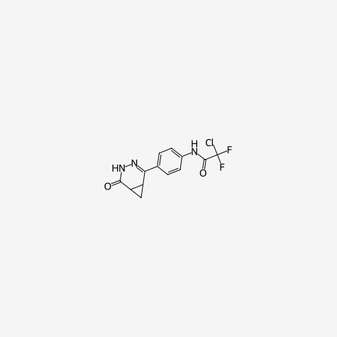 O=C1NN=C(c2ccc(NC(=O)C(F)(F)Cl)cc2)C2CC12